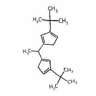 CC(C1=CC(C(C)(C)C)=CC1)C1=CC(C(C)(C)C)=CC1